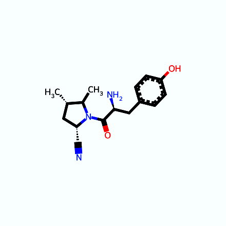 CC1[C@@H](C)C[C@@H](C#N)N1C(=O)[C@@H](N)Cc1ccc(O)cc1